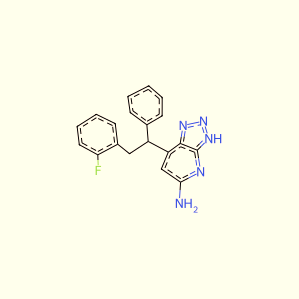 Nc1cc(C(Cc2ccccc2F)c2ccccc2)c2nn[nH]c2n1